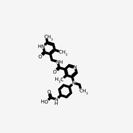 CCN(c1cncc(C(=O)NCc2c(C)cc(C)[nH]c2=O)c1C)C1CCC(NC(=O)O)CC1